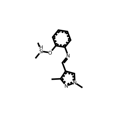 Cc1nn(C)cc1C=Nc1ccccc1O[SiH](C)C